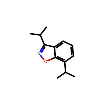 CC(C)c1noc2c(C(C)C)cccc12